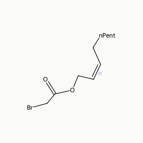 CCCCCC/C=C\COC(=O)CBr